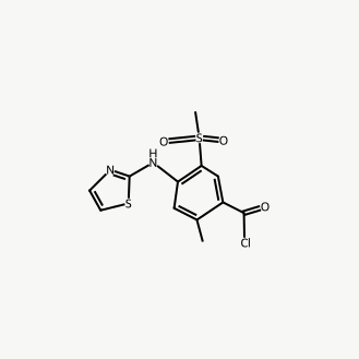 Cc1cc(Nc2nccs2)c(S(C)(=O)=O)cc1C(=O)Cl